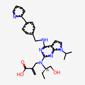 C=C(CN(c1nc(NCc2ccc(-c3ccccn3)cc2)c2ccn(C(C)C)c2n1)[C@H](CC)CO)C(=O)O